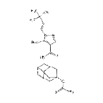 CC(C)COc1c(C(=O)NC2C3CC4CC2CC(OC(N)=O)(C4)C3)cnn1C=CC(C)(C)C#N